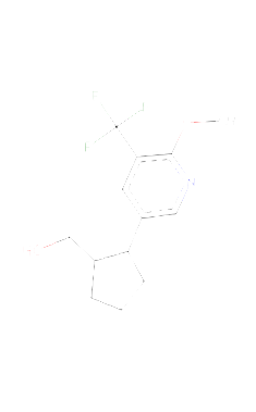 COc1ncc(C2CCCC2CO)cc1C(F)(F)F